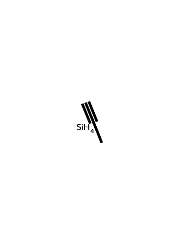 C#CC.[SiH4]